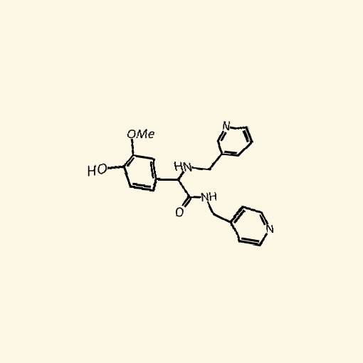 COc1cc(C(NCc2cccnc2)C(=O)NCc2ccncc2)ccc1O